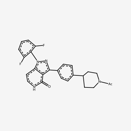 CC(=O)N1CCC(c2ccc(-c3nn(-c4c(F)cccc4F)c4cc[nH]c(=O)c34)cc2)CC1